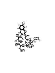 CCC(C)C(NC(=O)CN(C)C(=O)C(Cc1ccc(Cl)cc1)N(C)C(=O)C(C)NC(=O)C(O)CC(C)C)C(=O)OCC(Cl)(Cl)Cl